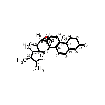 CC1O[C@@]2(O[C@]34CC[C@H]([C@@H]2C)[C@@]3(C)C=CC2=C4C=CC3=CC(=O)CC[C@@]32C)[C@@H](O)[C@@H]1C